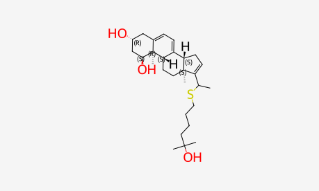 CC(SCCCCC(C)(C)O)C1=CC[C@H]2C3=CC=C4C[C@@H](O)C[C@H](O)[C@]4(C)[C@H]3CC[C@]12C